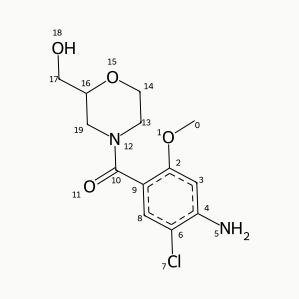 COc1cc(N)c(Cl)cc1C(=O)N1CCOC(CO)C1